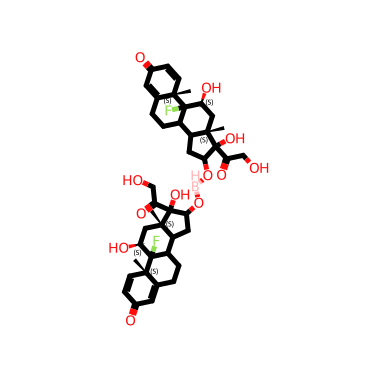 C[C@]12C=CC(=O)C=C1CCC1C3CC(OBOC4CC5C6CCC7=CC(=O)C=C[C@]7(C)C6(F)[C@@H](O)C[C@]5(C)C4(O)C(=O)CO)C(O)(C(=O)CO)[C@@]3(C)C[C@H](O)C12F